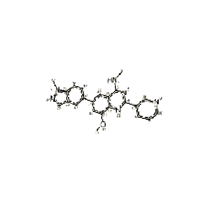 CNc1nc(-c2cccnc2)nc2c(OC)cc(-c3ccc4c(cnn4C)c3)cc12